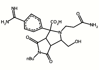 CCCCN1C(=O)C2C(CO)N(CCC(N)=O)C(C(=O)O)(c3ccc(C(=N)N)cc3)C2C1=O